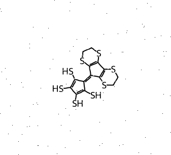 SC1=C(S)C(=C2C3=C(SCCS3)C3=C2SCCS3)C(S)=C1S